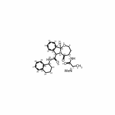 CN[C@@H](C)C(=O)N[C@H]1CCO[C@H]2c3ccccc3C(C(=O)NC3CCCc4ccccc43)N2C1=O